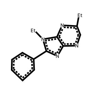 CCc1cnc2nc(-c3ccccc3)n(CC)c2n1